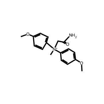 COc1ccc([N+](C)(CC(N)=O)c2ccc(OC)cc2)cc1